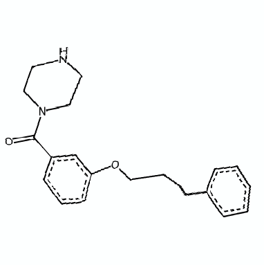 O=C(c1cccc(OCCCc2ccccc2)c1)N1CCNCC1